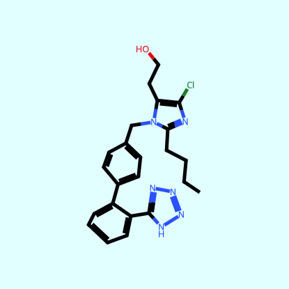 CCCCc1nc(Cl)c(CCO)n1Cc1ccc(-c2ccccc2-c2nnn[nH]2)cc1